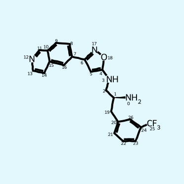 N[C@H](CNc1cc(-c2ccc3cnccc3c2)no1)Cc1cccc(C(F)(F)F)c1